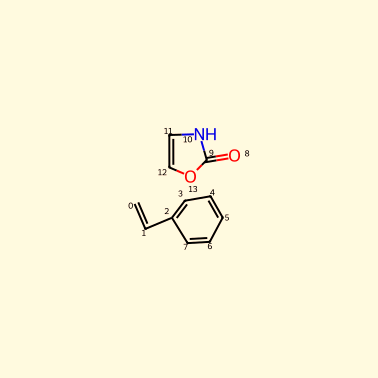 C=Cc1ccccc1.O=c1[nH]cco1